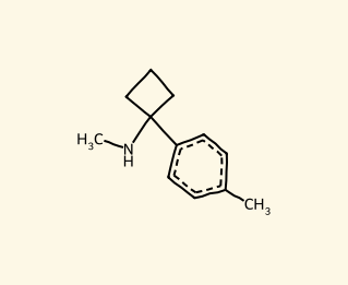 CNC1(c2ccc(C)cc2)CCC1